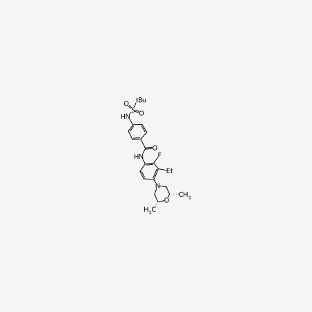 CCc1c(N2C[C@@H](C)O[C@@H](C)C2)ccc(NC(=O)c2ccc(NS(=O)(=O)C(C)(C)C)cc2)c1F